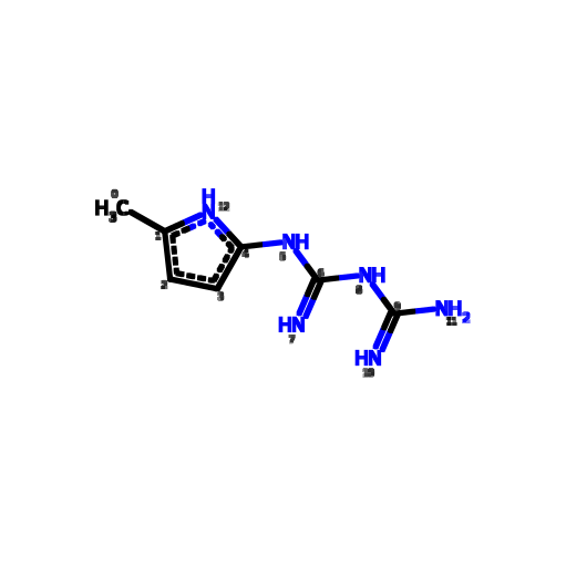 Cc1ccc(NC(=N)NC(=N)N)[nH]1